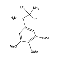 CCC(N)(CC)C(N)c1cc(OC)c(OC)c(OC)c1